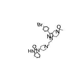 CC(=O)N1CCc2c(c(-c3ccc(Br)cc3)nn2CCCN2CCC(n3c(=O)[nH]c4ccccc43)CC2)C1